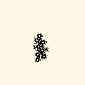 Cc1ccc2c(oc3ccccc32)c1N(c1ccccc1)c1cc(C(C)C)c2ccc3c(N(c4ccccc4)c4cccc5c4oc4ccccc45)cc(C(C)C)c4ccc1c2c43